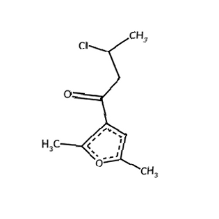 Cc1cc(C(=O)CC(C)Cl)c(C)o1